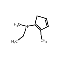 CCN(C)C1=C(C)C=CC1